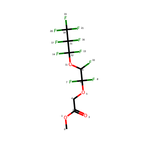 COC(=O)COC(F)(F)C(F)OC(F)(F)C(F)(F)C(F)(F)F